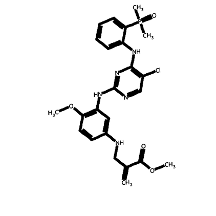 C=C(CNc1ccc(OC)c(Nc2ncc(Cl)c(Nc3ccccc3P(C)(C)=O)n2)c1)C(=O)OC